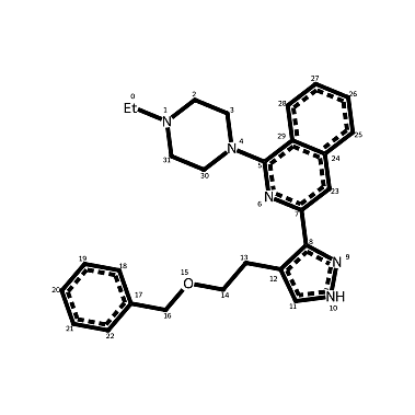 CCN1CCN(c2nc(-c3n[nH]cc3CCOCc3ccccc3)cc3ccccc23)CC1